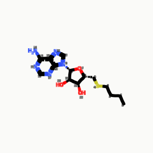 CCCCSC[C@H]1O[C@@H](n2cnc3c(N)ncnc32)[C@H](O)[C@@H]1O